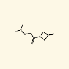 CC1CN(C(=O)CCN(C)C)C1